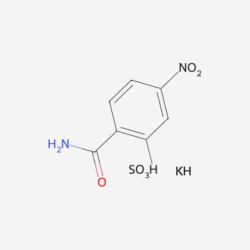 NC(=O)c1ccc([N+](=O)[O-])cc1S(=O)(=O)O.[KH]